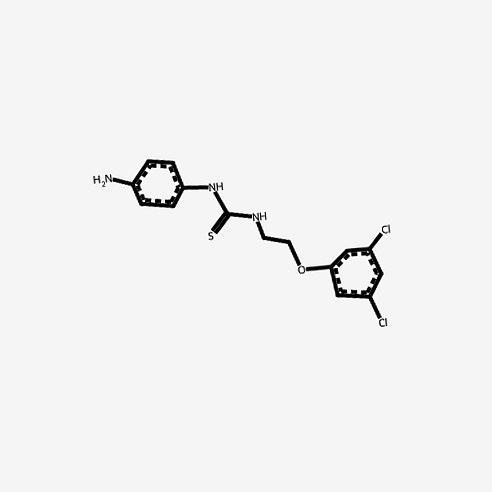 Nc1ccc(NC(=S)NCCOc2cc(Cl)cc(Cl)c2)cc1